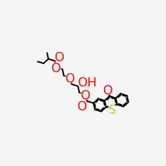 CCC(C)C(=O)OCCOCC(O)COC(=O)c1ccc2sc3ccccc3c(=O)c2c1